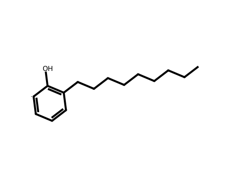 CCCCCCCCCc1ccc[c]c1O